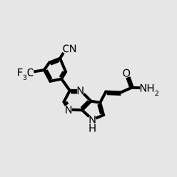 N#Cc1cc(-c2cnc3[nH]cc(/C=C/C(N)=O)c3n2)cc(C(F)(F)F)c1